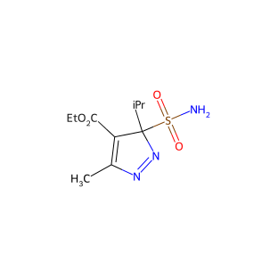 CCOC(=O)C1=C(C)N=NC1(C(C)C)S(N)(=O)=O